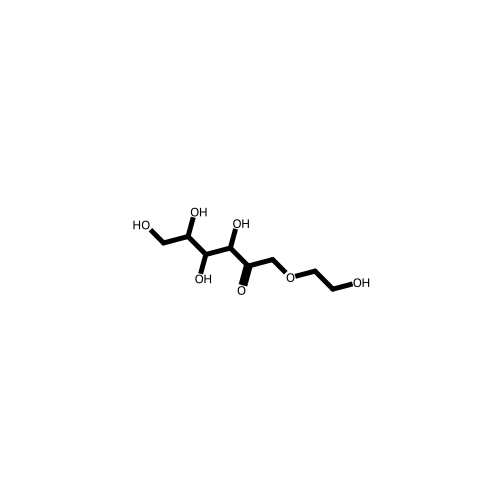 O=C(COCCO)C(O)C(O)C(O)CO